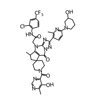 Cc1nc(N2CCCC(O)C2)ccc1-c1nc2n(CC(=O)Nc3ccc(C(F)(F)F)cc3Cl)c3c(c(=O)n2n1)C1(CCN(C(=O)c2ncnc(C)c2O)CC1)CC3C